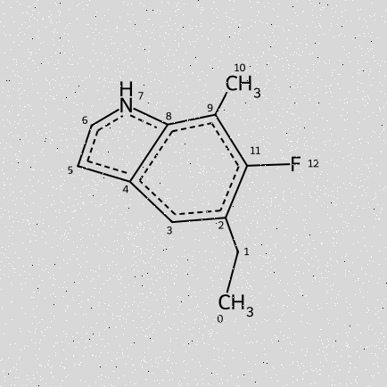 CCc1cc2cc[nH]c2c(C)c1F